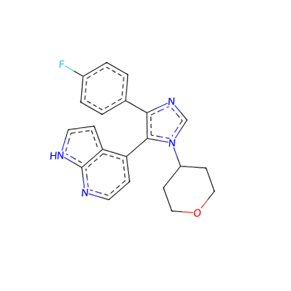 Fc1ccc(-c2ncn(C3CCOCC3)c2-c2ccnc3[nH]ccc23)cc1